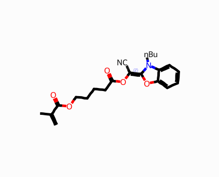 C=C(C)C(=O)OCCCCC(=O)O/C(C#N)=C1\Oc2ccccc2N1CCCC